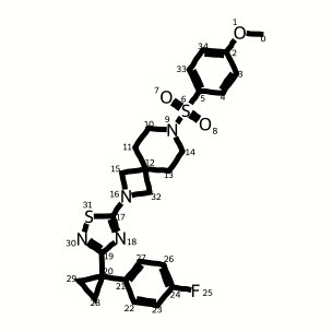 COc1ccc(S(=O)(=O)N2CCC3(CC2)CN(c2nc(C4(c5ccc(F)cc5)CC4)ns2)C3)cc1